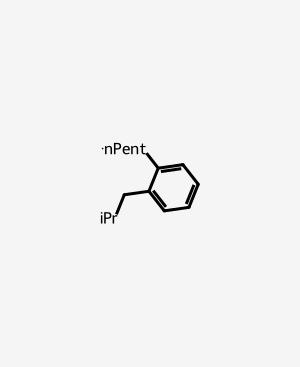 CCCC[CH]c1ccccc1CC(C)C